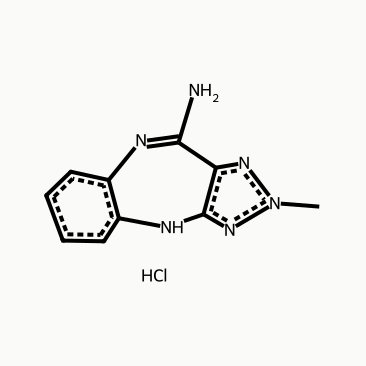 Cl.Cn1nc2c(n1)C(N)=Nc1ccccc1N2